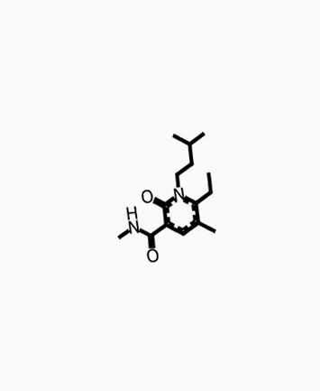 CCc1c(C)cc(C(=O)NC)c(=O)n1CCC(C)C